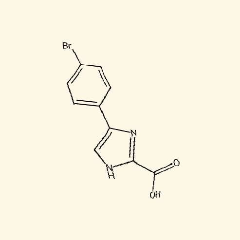 O=C(O)c1nc(-c2ccc(Br)cc2)c[nH]1